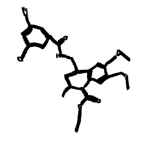 CCOC(=O)N1c2cc(OC)c(OC)cc2C(CNC(=O)c2cc(Cl)cc(Cl)c2)CC1C